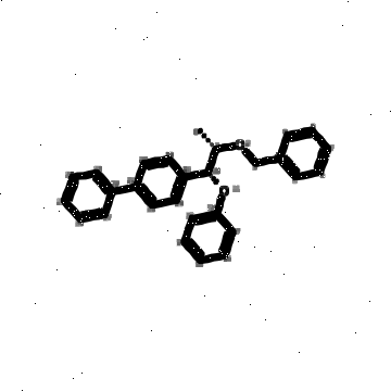 C[C@H](OCc1ccccc1)[C@H](Oc1ccccc1)c1ccc(-c2ccccc2)cc1